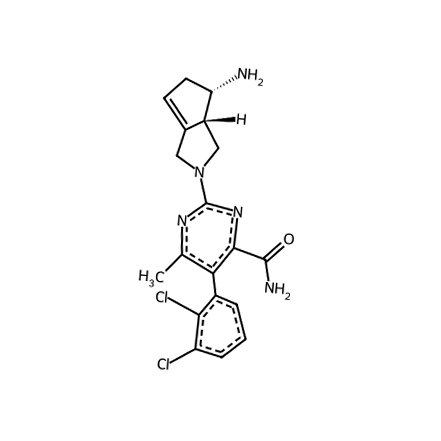 Cc1nc(N2CC3=CC[C@H](N)[C@@H]3C2)nc(C(N)=O)c1-c1cccc(Cl)c1Cl